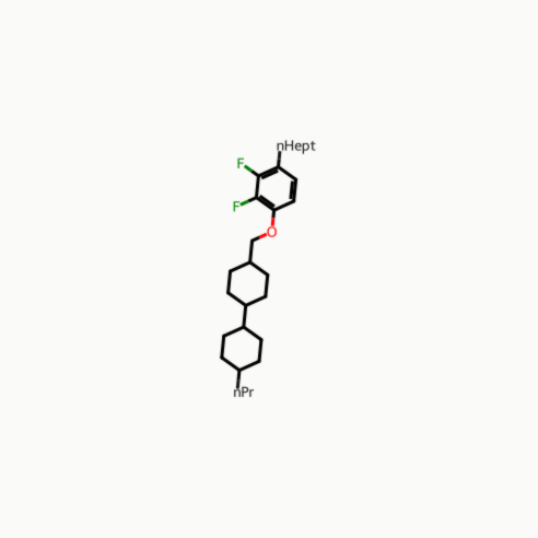 CCCCCCCc1ccc(OCC2CCC(C3CCC(CCC)CC3)CC2)c(F)c1F